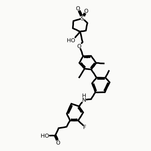 Cc1ccc(CNc2ccc(CCC(=O)O)c(F)c2)cc1-c1c(C)cc(OCC2(O)CCS(=O)(=O)CC2)cc1C